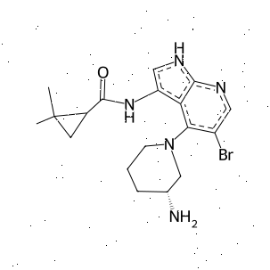 CC1(C)CC1C(=O)Nc1c[nH]c2ncc(Br)c(N3CCC[C@@H](N)C3)c12